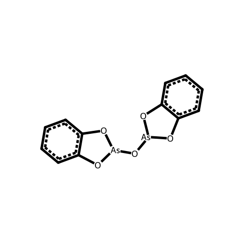 c1ccc2c(c1)O[As](O[As]1Oc3ccccc3O1)O2